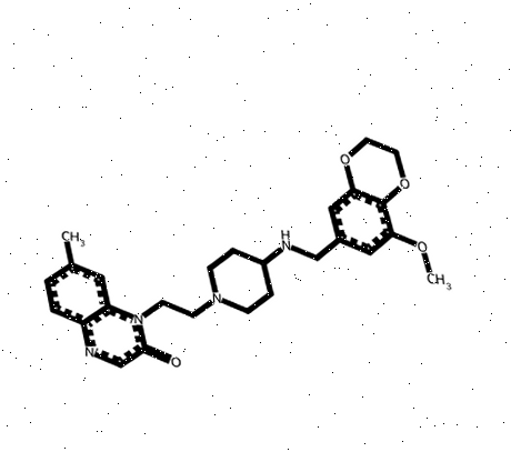 COc1cc(CNC2CCN(CCn3c(=O)cnc4ccc(C)cc43)CC2)cc2c1OCCO2